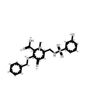 Cn1c(CNS(=O)(=O)c2cccc(Cl)c2)cc(=O)c(OCc2ccccc2)c1C(=O)O